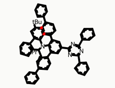 C=CC([C@H](C)C(C)C)N(c1c(C)cc(C(C)(C)C)cc1-c1ccccc1)c1c(-c2ccc(-c3ccccc3)cc2)cc(-c2nc(-c3ccccc3)nc(-c3ccccc3)n2)cc1-c1ccc(-c2ccccc2)cc1